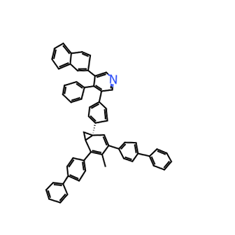 CC1=C(c2ccc(-c3ccccc3)cc2)C2C[C@@]2(c2ccc(-c3cncc(-c4ccc5ccccc5c4)c3-c3ccccc3)cc2)C=C1c1ccc(-c2ccccc2)cc1